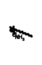 CCCCCCCCCCCCc1c(CCl)ccc(C)c1C.N